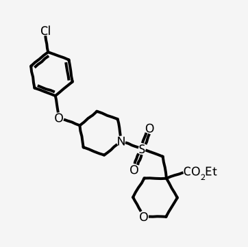 CCOC(=O)C1(CS(=O)(=O)N2CCC(Oc3ccc(Cl)cc3)CC2)CCOCC1